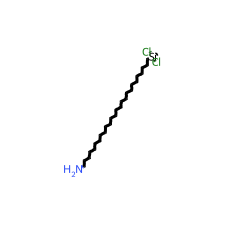 C[Si](Cl)(Cl)CCCCCCCCCCCCCCCCCCCCCCCCCCN